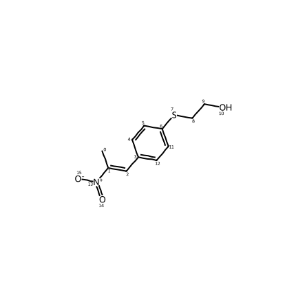 C/C(=C\c1ccc(SCCO)cc1)[N+](=O)[O-]